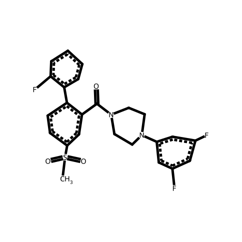 CS(=O)(=O)c1ccc(-c2ccccc2F)c(C(=O)N2CCN(c3cc(F)cc(F)c3)CC2)c1